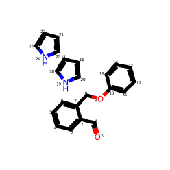 O=Cc1ccccc1COc1ccccc1.c1cc[nH]c1.c1cc[nH]c1